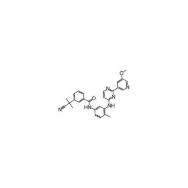 COc1cncc(-c2nccc(Nc3cc(NC(=O)c4cccc(C(C)(C)C#N)c4)ccc3C)n2)c1